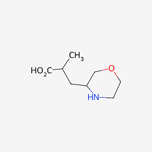 CC(CC1COCCN1)C(=O)O